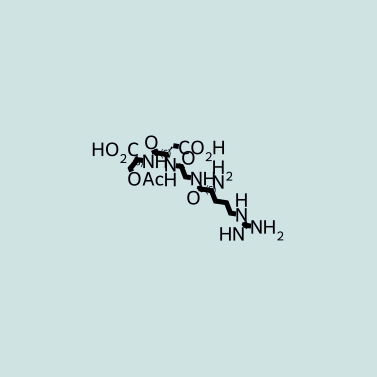 CC(=O)OC[C@H](NC(=O)[C@H](CC(=O)O)NC(=O)CNC(=O)[C@@H](N)CCCNC(=N)N)C(=O)O